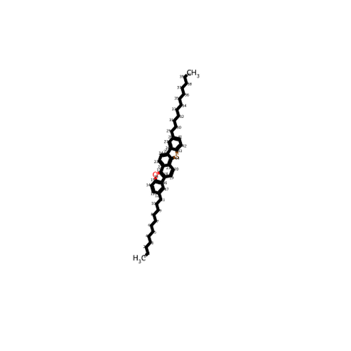 CCCCCCCCCCCCc1ccc2oc3c(ccc4c3ccc3c5cc(CCCCCCCCCCCC)ccc5sc34)c2c1